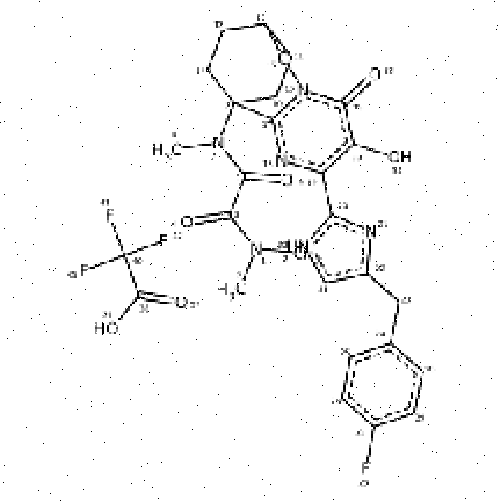 CN(C)C(=O)C(=O)N(C)C12CCC(CC1)Cn1c2nc(-c2nc(Cc3ccc(F)cc3)c[nH]2)c(O)c1=O.O=C(O)C(F)(F)F